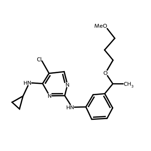 COCCCOC(C)c1cccc(Nc2ncc(Cl)c(NC3CC3)n2)c1